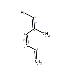 C=C/N=C\C(C)=C/CC